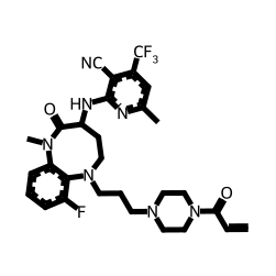 C=CC(=O)N1CCN(CCCN2CCC(Nc3nc(C)cc(C(F)(F)F)c3C#N)C(=O)N(C)c3cccc(F)c32)CC1